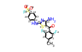 Cc1cc(F)c(C(=O)c2sc(Nc3ccc(S(=O)(=O)F)cc3)nc2N)c(F)c1